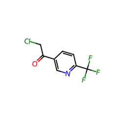 O=C(CCl)c1ccc(C(F)(F)F)nc1